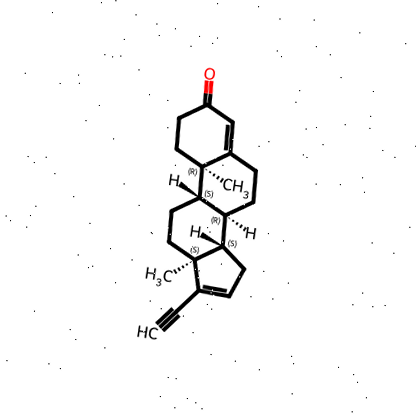 C#CC1=CC[C@H]2[C@@H]3CCC4=CC(=O)CC[C@]4(C)[C@H]3CC[C@]12C